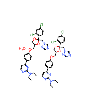 CCN(CC)c1nccc(-c2ccc(OCC3COC(Cn4cncn4)(c4ccc(Cl)cc4Cl)O3)cc2)n1.CCN(CC)c1nccc(-c2ccc(OCC3COC(Cn4cncn4)(c4ccc(Cl)cc4Cl)O3)cc2)n1.O